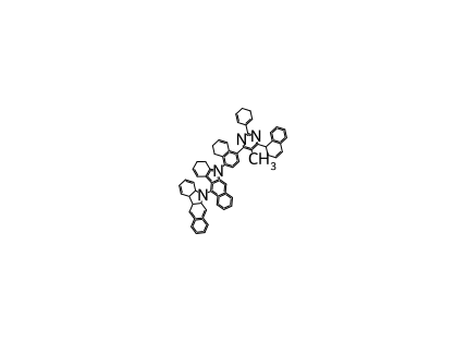 Cc1c(-c2ccc(-n3c4c(c5c(N6C7C=CC=CC7C7C=c8ccccc8=CC76)c6ccccc6cc53)C=CCC4)c3c2C=CCC3)nc(C2=CCCC=C2)nc1C1CC=Cc2ccccc21